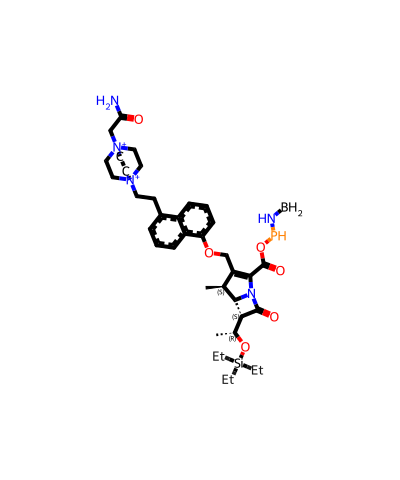 BNPOC(=O)C1=C(COc2cccc3c(CC[N+]45CC[N+](CC(N)=O)(CC4)CC5)cccc23)[C@H](C)C2[C@@H]([C@@H](C)O[Si](CC)(CC)CC)C(=O)N12